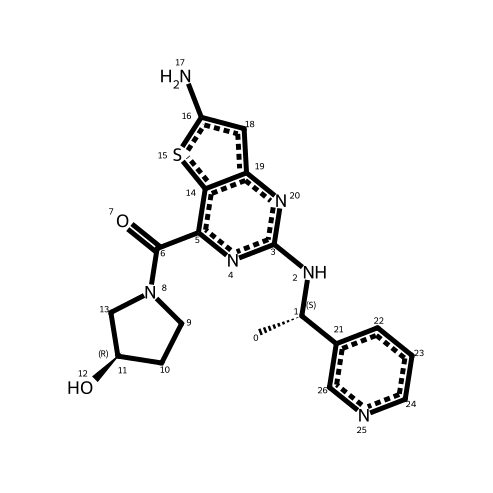 C[C@H](Nc1nc(C(=O)N2CC[C@@H](O)C2)c2sc(N)cc2n1)c1cccnc1